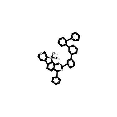 C[Si]1(C)c2ccccc2-c2ccc3c(-c4ccccc4)nc(-c4cccc(-c5cccc(-c6ccccc6-c6ccccc6)c5)c4)nc3c21